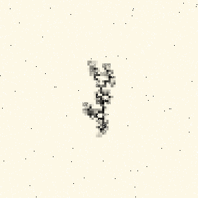 CC(C)(CCC[C@@H](CCC(=O)C(C)(C)O[Si](C)(C)C)[C@H]1CC[C@@H]2C(=CC=C3CC(O[Si](C)(C)C(C)(C)C)C[C@H](O[Si](C)(C)C(C)(C)C)C3)CCC[C@]21C)O[Si](C)(C)C